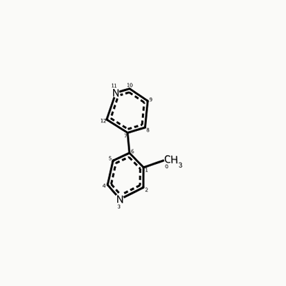 Cc1cnccc1-c1cccnc1